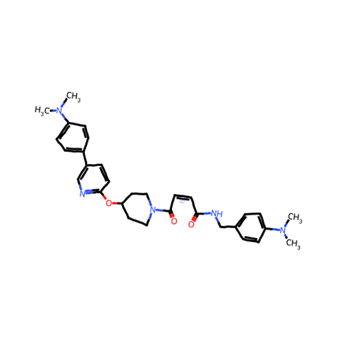 CN(C)c1ccc(CNC(=O)/C=C\C(=O)N2CCC(Oc3ccc(-c4ccc(N(C)C)cc4)cn3)CC2)cc1